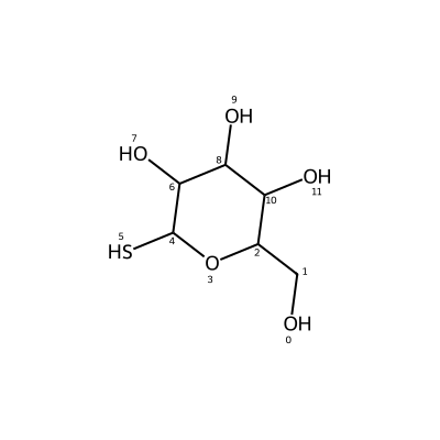 OCC1OC(S)C(O)C(O)C1O